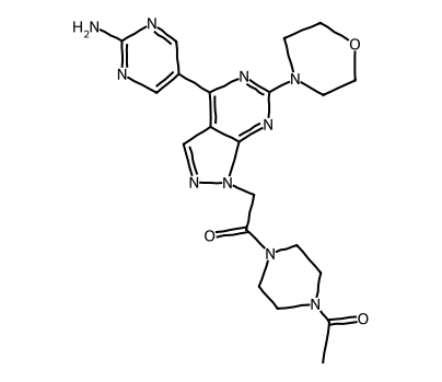 CC(=O)N1CCN(C(=O)Cn2ncc3c(-c4cnc(N)nc4)nc(N4CCOCC4)nc32)CC1